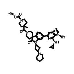 CC(C)n1cnc2cc(-c3ccc4c(c3)N(C3CC(N5CCCCC5)C3)C(=O)C43CCN(C(=O)C4(C)CCN(C(=O)OC(C)(C)C)CC4)CC3)nc(NC3CC3)c21